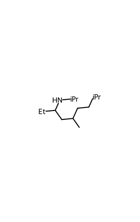 CCC(CC(C)CCC(C)C)NC(C)C